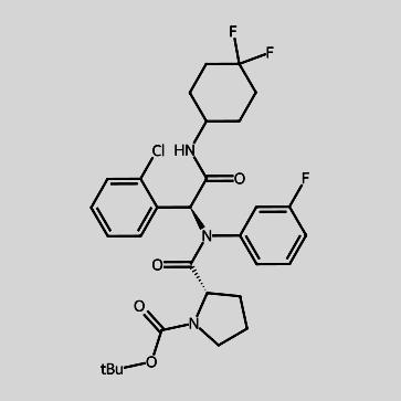 CC(C)(C)OC(=O)N1CCC[C@H]1C(=O)N(c1cccc(F)c1)[C@H](C(=O)NC1CCC(F)(F)CC1)c1ccccc1Cl